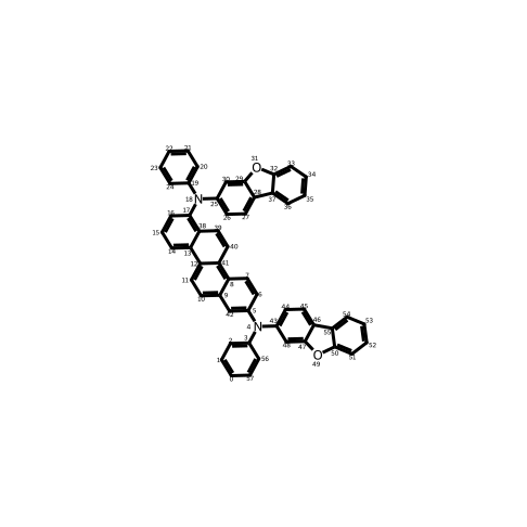 c1ccc(N(c2ccc3c(ccc4c5cccc(N(c6ccccc6)c6ccc7c(c6)oc6ccccc67)c5ccc34)c2)c2ccc3c(c2)oc2ccccc23)cc1